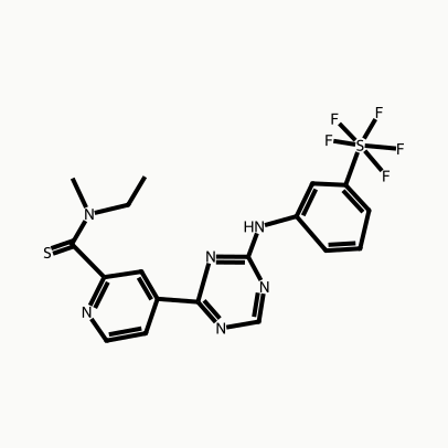 CCN(C)C(=S)c1cc(-c2ncnc(Nc3cccc(S(F)(F)(F)(F)F)c3)n2)ccn1